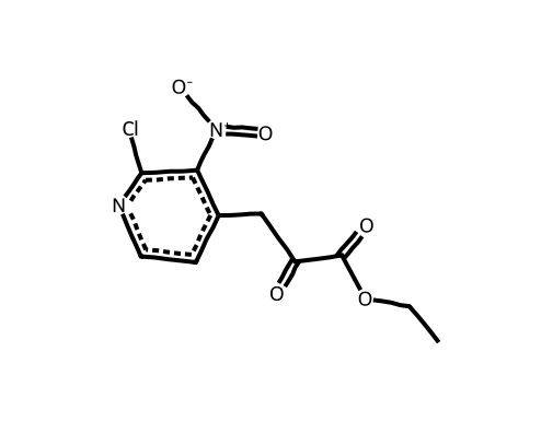 CCOC(=O)C(=O)Cc1ccnc(Cl)c1[N+](=O)[O-]